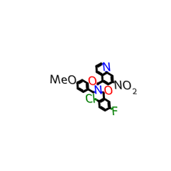 COc1ccc(CN(C(=O)c2cc(F)ccc2Cl)C(=O)c2cc([N+](=O)[O-])cc3ncccc23)cc1